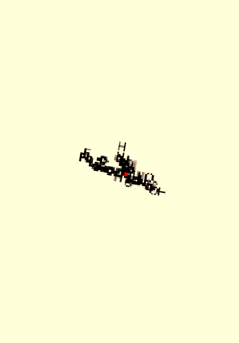 Cc1ccccc1[C@@H]1CN(Cc2ccc(F)c(F)c2)CCN1C1CC2(CCN(c3ccc(C(=O)NS(=O)(=O)c4ccc(NCC5CCC(C)(O)CC5)c([N+](=O)[O-])c4)c(N4c5cc6cc[nH]c6nc5O[C@H]5CCOC[C@@H]54)c3)CC2)C1